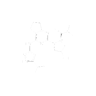 CC(C)c1cc(Nc2nc(N3CC(O)C[C@@H]3C(=O)N(C)C)nc3c2CCC3)n[nH]1